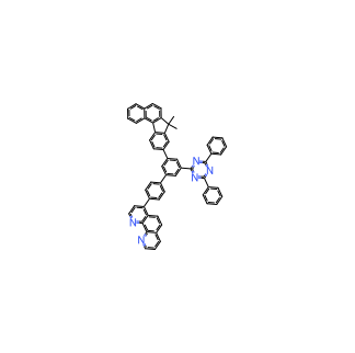 CC1(C)c2cc(-c3cc(-c4ccc(-c5ccnc6c5ccc5cccnc56)cc4)cc(-c4nc(-c5ccccc5)nc(-c5ccccc5)n4)c3)ccc2-c2c1ccc1ccccc21